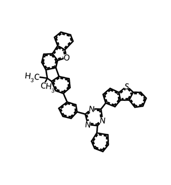 CC1(C)c2cc(-c3cccc(-c4nc(-c5ccccc5)nc(-c5ccc6sc7ccccc7c6c5)n4)c3)ccc2-c2c1ccc1c2oc2ccccc21